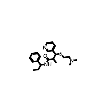 CCC(NC(=O)C(C)C(SCCN(C)C)c1cccnc1)c1ccccc1